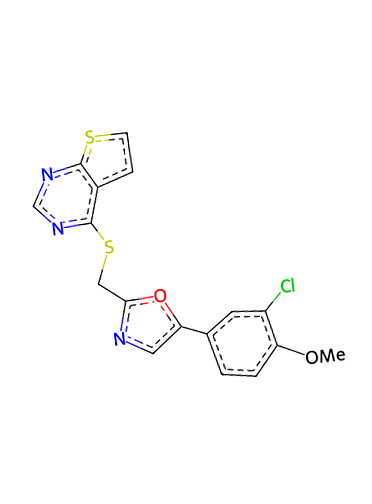 COc1ccc(-c2cnc(CSc3ncnc4sccc34)o2)cc1Cl